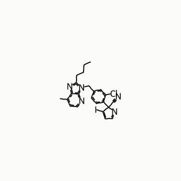 CCCCc1nc2c(C)ccnc2n1Cc1ccc(C2(C#N)N=CC=C2I)c(Cl)c1